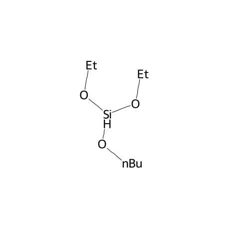 CCCCO[SiH](OCC)OCC